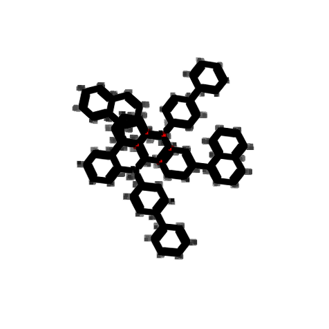 c1ccc(-c2ccc(N(c3cccc(-c4ccccc4N(c4ccc(-c5ccccc5)cc4)c4cccc5c4oc4c6ccccc6ccc54)c3)c3cccc(-c4cccc5ccccc45)c3)cc2)cc1